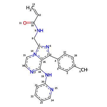 [CH]c1ccc(-c2nc(CNC(=O)C=C)n3ccnc(Nc4ccccn4)c23)cc1